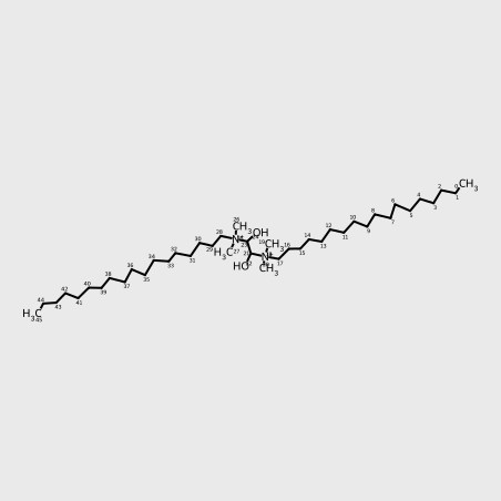 CCCCCCCCCCCCCCCCCC[N+](C)(C)C(O)C(O)[N+](C)(C)CCCCCCCCCCCCCCCCCC